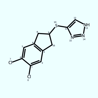 Clc1cc2c(cc1Cl)CC(Sc1c[nH]nn1)C2